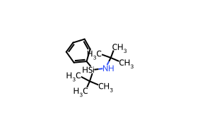 CC(C)(C)N[SiH](c1ccccc1)C(C)(C)C